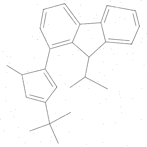 CC1C=C(C(C)(C)C)C=C1c1cccc2c1C(C(C)C)c1ccccc1-2